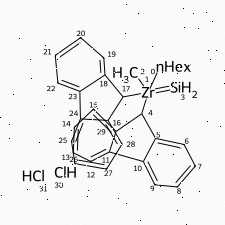 CCCCC[CH2][Zr]([CH3])(=[SiH2])([CH]1c2ccccc2-c2ccccc21)[CH]1c2ccccc2-c2ccccc21.Cl.Cl